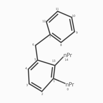 CCCc1cccc(Cc2ccccc2)c1CCC